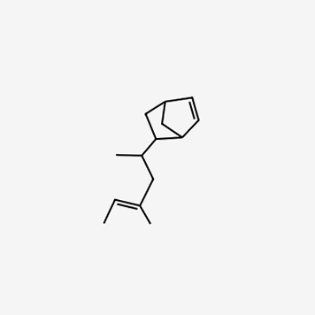 CC=C(C)CC(C)C1CC2C=CC1C2